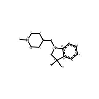 CN1CCC(CN2CC(C)(C)c3cc[c]cc32)CC1